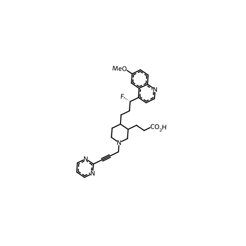 COc1ccc2nccc([C@@H](F)CCC3CCN(CC#Cc4ncccn4)CC3CCC(=O)O)c2c1